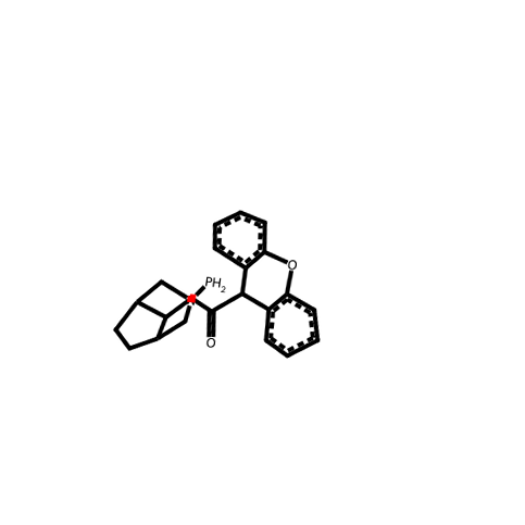 O=C(CC1C2CCC1CN(P)C2)C1c2ccccc2Oc2ccccc21